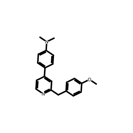 COc1ccc(Cc2cc(-c3ccc(N(C)C)cc3)ccn2)cc1